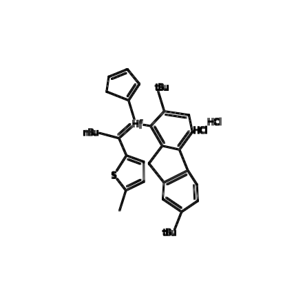 CCCC/[C](c1ccc(C)s1)=[Hf](\[C]1=CC=CC1)[c]1c(C(C)(C)C)ccc2c1Cc1cc(C(C)(C)C)ccc1-2.Cl.Cl